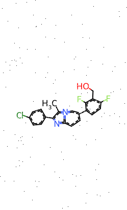 Cc1c(-c2ccc(Cl)cc2)nc2ccc(-c3ccc(F)c(CO)c3F)cn12